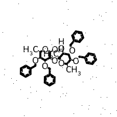 C[C@@H]1O[C@@H](O)[C@H](O[C@]2(C)O[C@@H](C)[C@H](OCc3ccccc3)[C@@H](OCc3ccccc3)[C@H]2O)[C@H](OCc2ccccc2)[C@H]1OCc1ccccc1